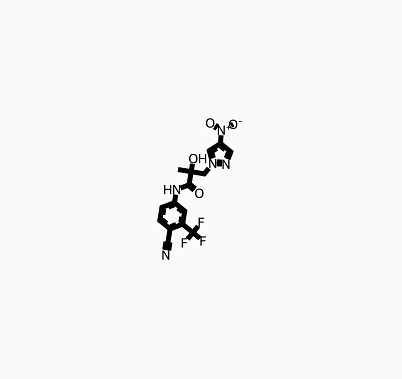 CC(O)(Cn1cc([N+](=O)[O-])cn1)C(=O)Nc1ccc(C#N)c(C(F)(F)F)c1